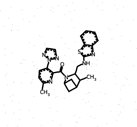 Cc1ccc(-n2nccn2)c(C(=O)N2C3CC(C3)C(C)C2CNc2nc3ccccc3s2)n1